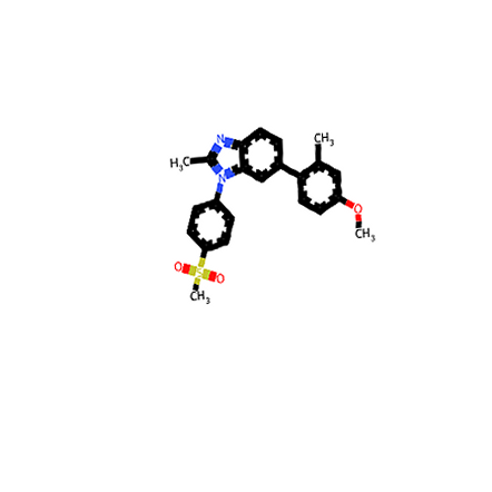 COc1ccc(-c2ccc3nc(C)n(-c4ccc(S(C)(=O)=O)cc4)c3c2)c(C)c1